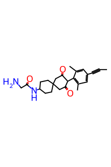 CC#Cc1cc(C)c(C2C(=O)CC3(CCC(NC(=O)CN)CC3)CC2=O)c(C)c1